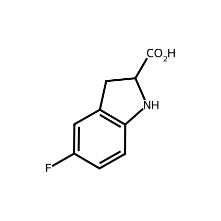 O=C(O)C1Cc2cc(F)ccc2N1